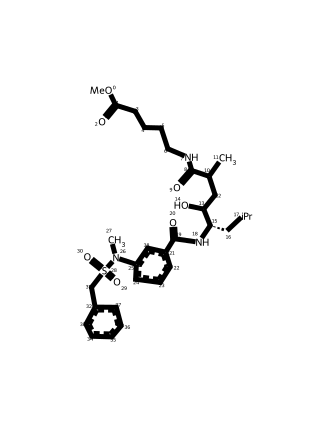 COC(=O)CCCCNC(=O)C(C)CC(O)[C@H](CC(C)C)NC(=O)c1cccc(N(C)S(=O)(=O)Cc2ccccc2)c1